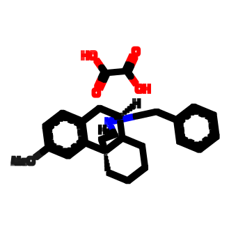 COc1ccc2c(c1)[C@]13CCCC[C@@H]1[C@H](C2)N(Cc1ccccc1)CC3.O=C(O)C(=O)O